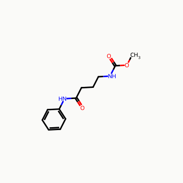 COC(=O)NCCCC(=O)Nc1ccccc1